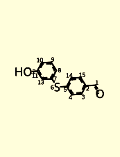 O=Cc1ccc(Sc2cccc(O)c2)cc1